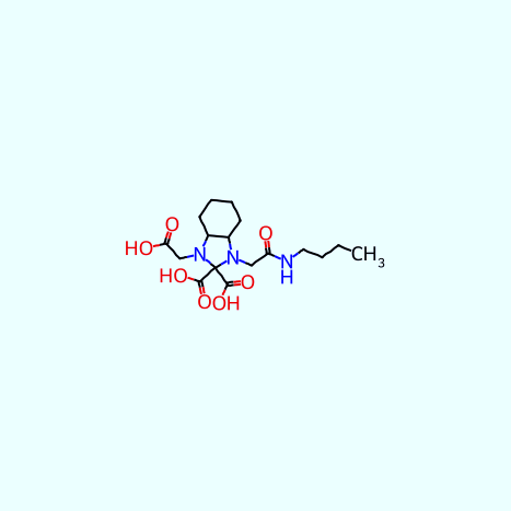 CCCCNC(=O)CN1C2CCCCC2N(CC(=O)O)C1(C(=O)O)C(=O)O